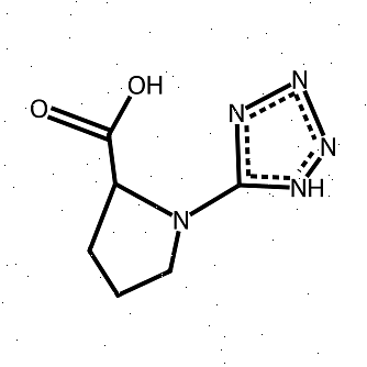 O=C(O)C1CCCN1c1nnn[nH]1